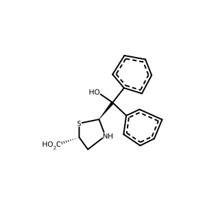 O=C(O)[C@H]1CN[C@H](C(O)(c2ccccc2)c2ccccc2)S1